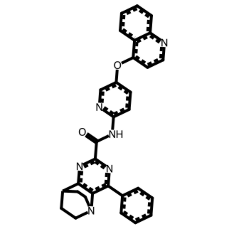 O=C(Nc1ccc(Oc2ccnc3ccccc23)cn1)c1nc(-c2ccccc2)c2c(n1)C1CCN2CC1